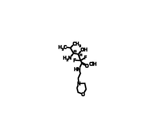 CC(C)[C@H](N)[C@@H](O)C(F)(F)C(=O)NCCN1CCOCC1.Cl